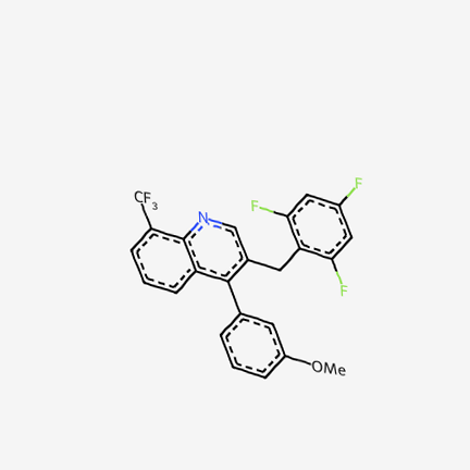 COc1cccc(-c2c(Cc3c(F)cc(F)cc3F)cnc3c(C(F)(F)F)cccc23)c1